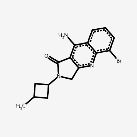 CC1CC(N2Cc3nc4c(Br)cccc4c(N)c3C2=O)C1